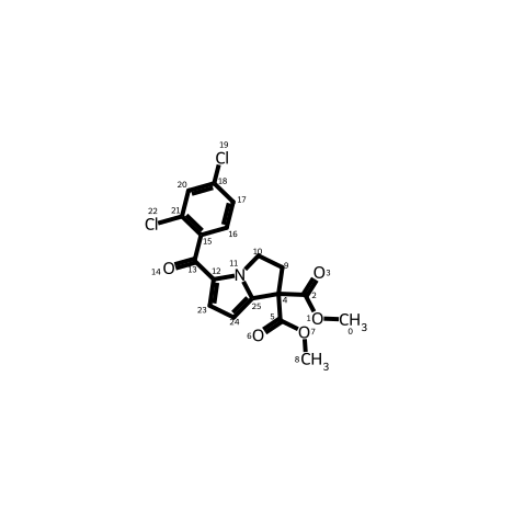 COC(=O)C1(C(=O)OC)CCn2c(C(=O)c3ccc(Cl)cc3Cl)ccc21